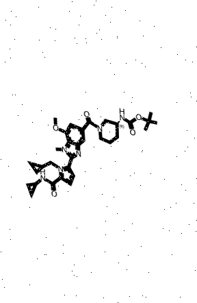 COc1cc(C(=O)N2CCC[C@@H](NC(=O)OC(C)(C)C)C2)cc2nc(-c3ccc(C(=O)NC4CC4)n3CC3CC3)n(C)c12